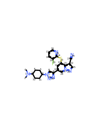 CN(C)C1CCC(n2cc(-c3cc(Sc4ncccc4F)c4c(C#N)cnn4c3)nn2)CC1